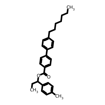 CCCCCCCc1ccc(-c2ccc(C(=O)OC(CC)c3ccc(C)cc3)cc2)cc1